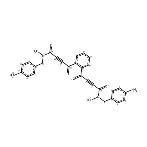 CN(Cc1ccc(N)cc1)C(=O)C#CC(=O)c1ccccc1C(=O)C#CC(=O)N(C)Cc1ccc(N)cc1